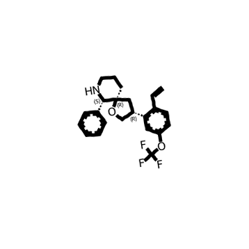 C=Cc1ccc(OC(F)(F)F)cc1[C@@H]1CO[C@]2(CCCN[C@H]2c2ccccc2)C1